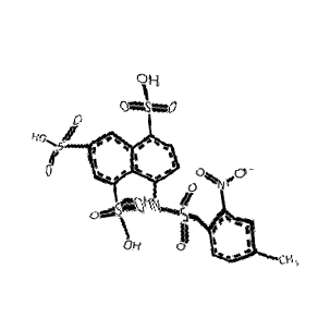 Cc1ccc(S(=O)(=O)Nc2ccc(S(=O)(=O)O)c3cc(S(=O)(=O)O)cc(S(=O)(=O)O)c23)c([N+](=O)[O-])c1